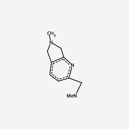 CNCc1ccc2c(n1)CN(C)C2